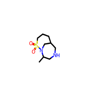 CC1CNCC2CCCS(=O)(=O)N1C2